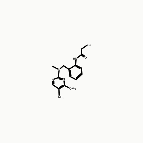 CCC(C)CC(=O)Nc1ccccc1CN(C)c1ncc(N)c(OC)n1